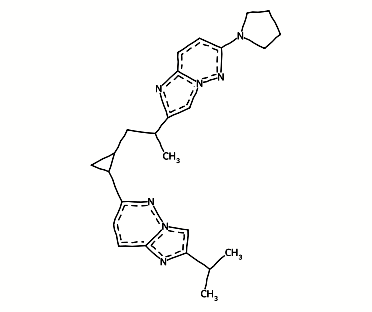 CC(C)c1cn2nc(C3CC3CC(C)c3cn4nc(N5CCCC5)ccc4n3)ccc2n1